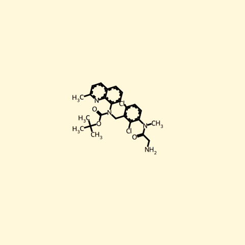 Cc1ccc2cccc(N(Cc3c(Cl)ccc(N(C)C(=O)CN)c3Cl)C(=O)OC(C)(C)C)c2n1